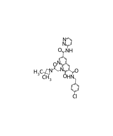 CC1(C)CN(C(=O)Cn2c(=O)c(C(=O)NCc3ccc(Cl)cc3)cc3cc(C(=O)Nc4cccnn4)cnc32)C1